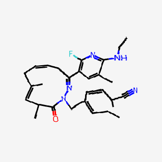 CC/C=C(\C=C/C(C)C#N)CN1/N=C(/c2cc(C)c(NCC)nc2F)C/C=C\C/C(C)=C/C(C)C1=O